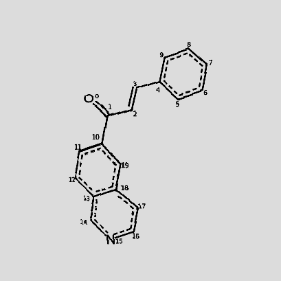 O=C(C=Cc1ccccc1)c1ccc2cnccc2c1